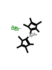 CC1=C(C)C(C)[C]([Ti+2][C]2=C(C)C(C)=C(C)C2C)=C1C.[Br-].[Br-]